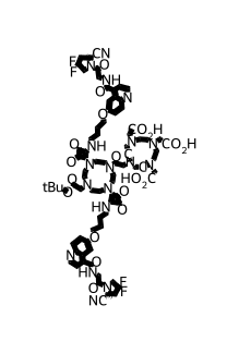 CC(C)(C)OC(=O)CN1CCN(c2c(NCCCCOc3ccc4nccc(C(=O)NCC(=O)N5CC(F)(F)C[C@H]5C#N)c4c3)c(=O)c2=O)CCN(C(=O)CN2CCN(CC(=O)O)CCN(CC(=O)O)CCN(CC(=O)O)CC2)CCN(c2c(NCCCCOc3ccc4nccc(C(=O)NCC(=O)N5CC(F)(F)C[C@H]5C#N)c4c3)c(=O)c2=O)CC1